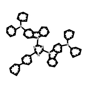 c1ccc(-c2ccc(-c3nc(-n4c5ccccc5c5cc(N(c6ccccc6)c6ccccc6)ccc54)nc(-n4c5ccccc5c5cc(N(c6ccccc6)c6ccccc6)ccc54)n3)cc2)cc1